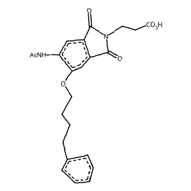 CC(=O)Nc1cc2c(cc1OCCCCc1ccccc1)C(=O)N(CCC(=O)O)C2=O